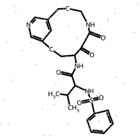 CC(C)C(NS(=O)(=O)c1ccccc1)C(=O)NC1CCc2cncc(c2)CCCNC(=O)C1=O